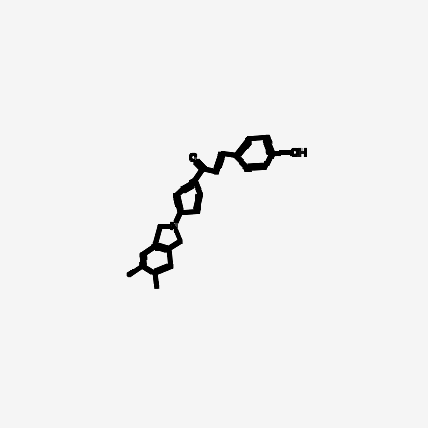 Cc1cc2c(cc1C)CN(c1ccc(C(=O)/C=C/c3ccc(O)cc3)cc1)C2